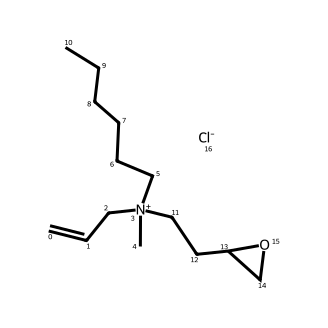 C=CC[N+](C)(CCCCCC)CCC1CO1.[Cl-]